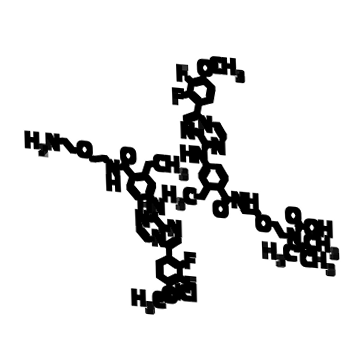 CCc1cc(Nc2nccn3c(-c4ccc(OC)c(F)c4F)cnc23)ccc1C(=O)NCCOCCN.CCc1cc(Nc2nccn3c(-c4ccc(OC)c(F)c4F)cnc23)ccc1C(=O)NCCOCCN(C(=O)O)C(C)(C)C.Cl